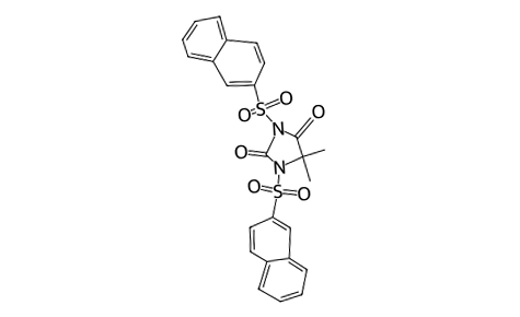 CC1(C)C(=O)N(S(=O)(=O)c2ccc3ccccc3c2)C(=O)N1S(=O)(=O)c1ccc2ccccc2c1